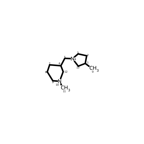 CC1CCN(CC2CCCN(C)C2)C1